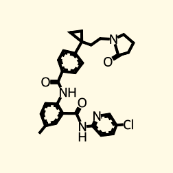 Cc1ccc(NC(=O)c2ccc(C3(CCN4CCCC4=O)CC3)cc2)c(C(=O)Nc2ccc(Cl)cn2)c1